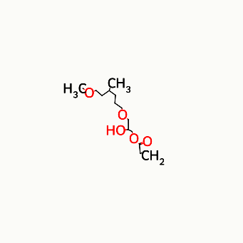 C=CC(=O)OCC(O)COCCCC(C)CCOC